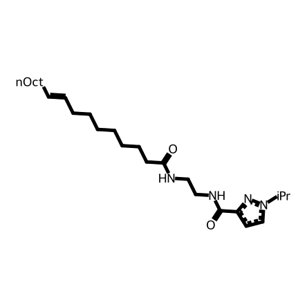 CCCCCCCCC=CCCCCCCCC(=O)NCCNC(=O)c1ccn(C(C)C)n1